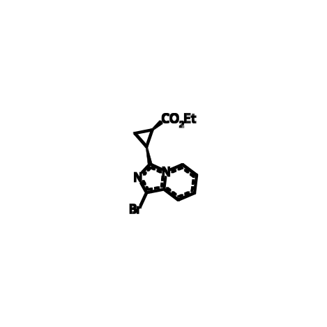 CCOC(=O)[C@@H]1C[C@@H]1c1nc(Br)c2ccccn12